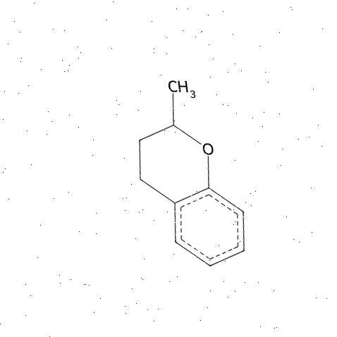 CC1CCc2ccccc2O1